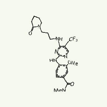 CNC(=O)c1ccc(Nc2ncc(C(F)(F)F)c(NCCCN3CCCCC3=O)n2)c(OC)c1